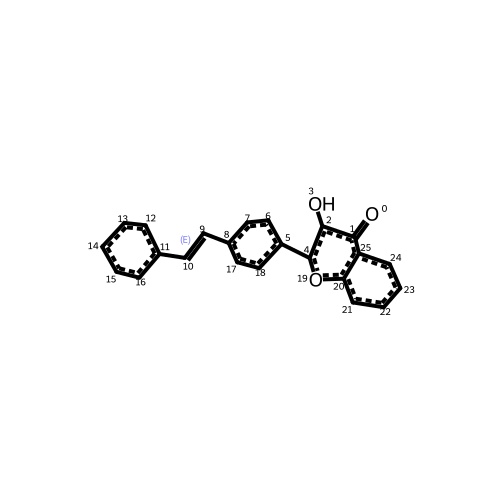 O=c1c(O)c(-c2ccc(/C=C/c3ccccc3)cc2)oc2ccccc12